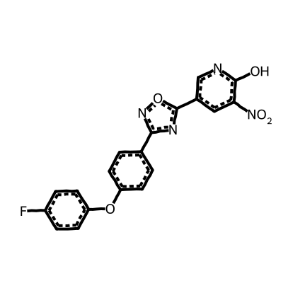 O=[N+]([O-])c1cc(-c2nc(-c3ccc(Oc4ccc(F)cc4)cc3)no2)cnc1O